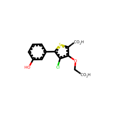 O=C(O)COc1c(C(=O)O)sc(-c2cccc(O)c2)c1Cl